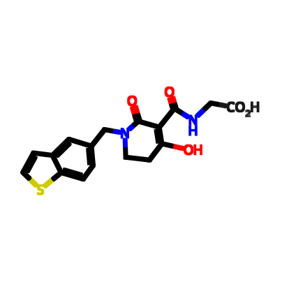 O=C(O)CNC(=O)C1=C(O)CCN(Cc2ccc3sccc3c2)C1=O